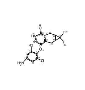 Nc1cc(Cl)c(Oc2n[nH]c(=O)c3c2CC2C(C3)C2(F)F)c(Cl)c1